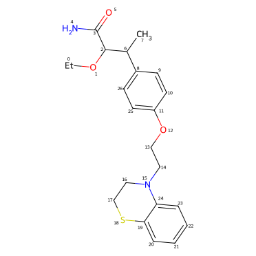 CCOC(C(N)=O)C(C)c1ccc(OCCN2CCSc3ccccc32)cc1